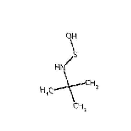 CC(C)(C)NSO